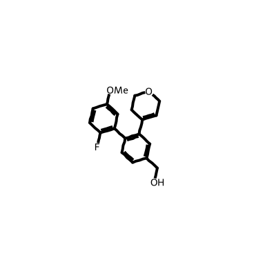 COc1ccc(F)c(-c2ccc(CO)cc2C2=CCOCC2)c1